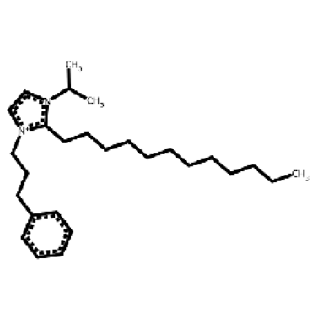 CCCCCCCCCCCCc1n(C(C)C)cc[n+]1CCCc1ccccc1